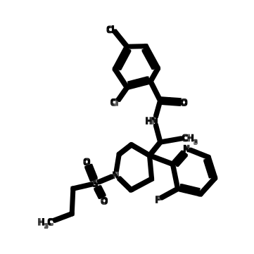 CCCS(=O)(=O)N1CCC(c2ncccc2F)(C(C)NC(=O)c2ccc(Cl)cc2Cl)CC1